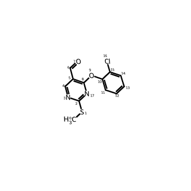 CSc1ncc(C=O)c(Oc2ccccc2Cl)n1